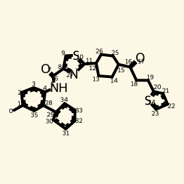 Cc1ccc(NC(=O)c2csc(C3CCC(C(=O)CCc4cccs4)CC3)n2)c(-c2ccccc2)c1